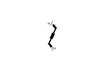 [CH]=CC#CC=C